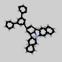 C1=C(c2cc(-c3ccccc3)cc(-c3ccccc3)c2)C=C2c3cc4ccccc4cc3N3c4cc5ccccc5cc4C1C23